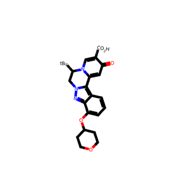 CC(C)(C)C1Cn2nc3c(OC4CCOCC4)cccc3c2-c2cc(=O)c(C(=O)O)cn21